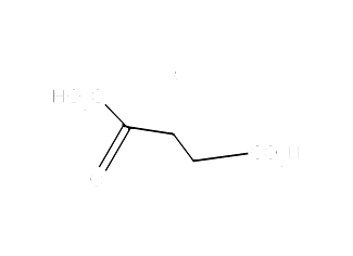 O=C(O)CCC(=O)C(=O)O.[B]